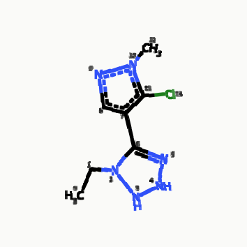 CCN1NNN=C1c1cnn(C)c1Cl